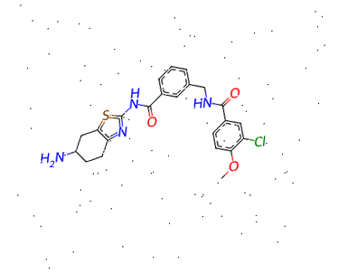 COc1ccc(C(=O)NCc2cccc(C(=O)Nc3nc4c(s3)CC(N)CC4)c2)cc1Cl